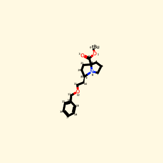 CC(C)(C)OC(=O)C12CCCN1[C@@H](CCOCc1ccccc1)CC2